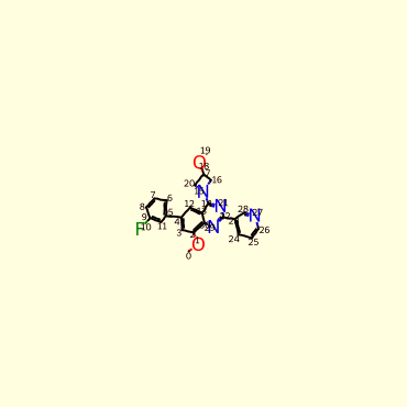 COc1cc(-c2cccc(F)c2)cc2c(N3CC(OC)C3)nc(-c3cccnc3)nc12